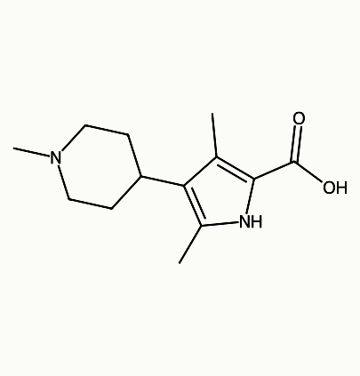 Cc1[nH]c(C(=O)O)c(C)c1C1CCN(C)CC1